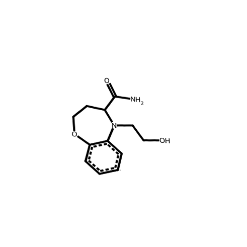 NC(=O)C1CCOc2cc[c]cc2N1CCO